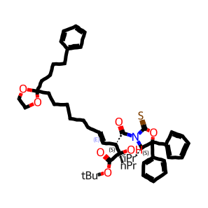 CCC[C@@](O)(C(=O)OC(C)(C)C)[C@H](/C=C/CCCCCCC1(CCCCc2ccccc2)OCCO1)C(=O)N1C(=S)OC(c2ccccc2)(c2ccccc2)[C@@H]1C(C)C